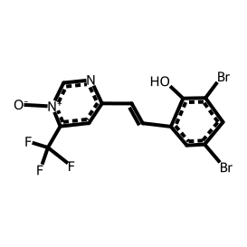 [O-][n+]1cnc(C=Cc2cc(Br)cc(Br)c2O)cc1C(F)(F)F